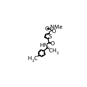 CNS(=O)(=O)c1ccc(C(=O)N[C@@H](C)c2ccc(C)cc2)s1